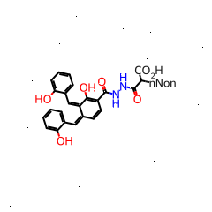 CCCCCCCCCC(C(=O)O)C(=O)NNC(=O)c1ccc(=Cc2ccccc2O)c(=Cc2ccccc2O)c1O